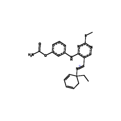 CCC1(/N=C/c2cnc(SC)nc2Nc2cccc(OC(N)=O)c2)C=CC=CC1